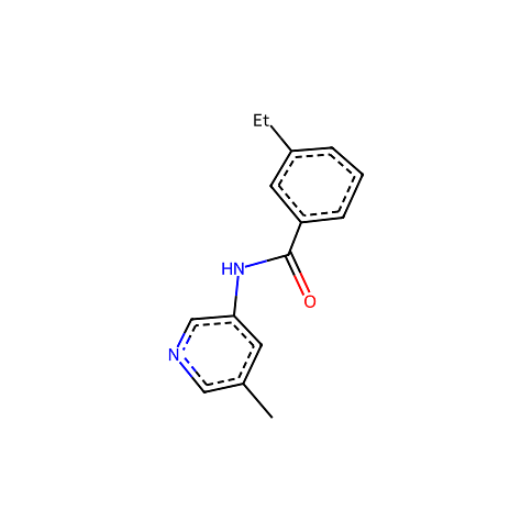 CCc1cccc(C(=O)Nc2cncc(C)c2)c1